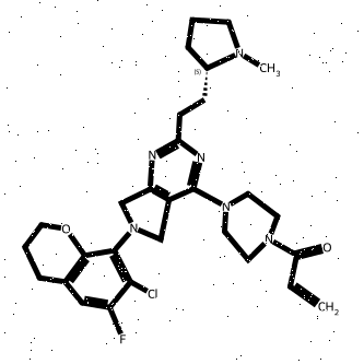 C=CC(=O)N1CCN(c2nc(CC[C@@H]3CCCN3C)nc3c2CN(c2c(Cl)c(F)cc4c2OCCC4)C3)CC1